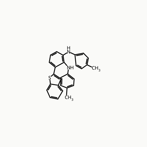 Cc1ccc(Nc2cccc(-c3cc4ccccc4s3)c2Nc2ccc(C)cc2)cc1